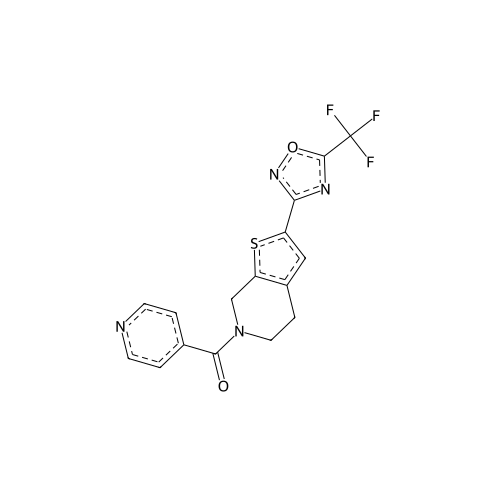 O=C(c1ccncc1)N1CCc2cc(-c3noc(C(F)(F)F)n3)sc2C1